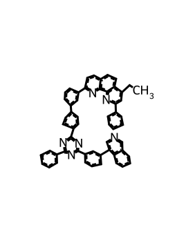 CCc1cc(-c2ccccc2)nc2c1ccc1ccc(-c3cccc(-c4ccc(-c5nc(-c6ccccc6)nc(-c6cccc(-c7cncc8ccccc78)c6)n5)cc4)c3)nc12